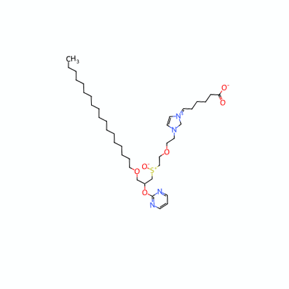 CCCCCCCCCCCCCCCCCCOCC(C[S+]([O-])CCOCCN1C=C[N+](=CCCCCC(=O)[O-])C1)Oc1ncccn1